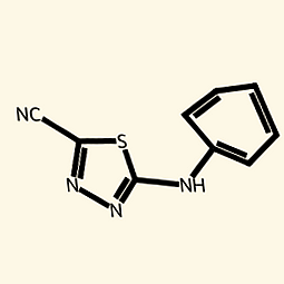 N#Cc1nnc(Nc2ccccc2)s1